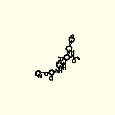 C=CC(=O)Nc1cc(Nc2nccc(Nc3ccc(OCc4ccccn4)c(Cl)c3)n2)c(OC)cc1N1CCC(N2CCN(C)CC2)CC1